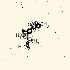 CNC(=O)c1c2cc(C3CC3)c(N(CCC3(OC)CN(C(C)=O)C3)S(C)(=O)=O)cc2nn1-c1ccc(C)cc1